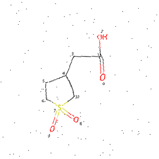 O=C(O)CC1CCS(=O)(=O)C1